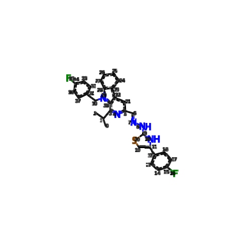 CC(C)c1nc(C=NNC2NC(c3ccc(F)cc3)=CS2)cc2c3ccccc3n(Cc3ccc(F)cc3)c12